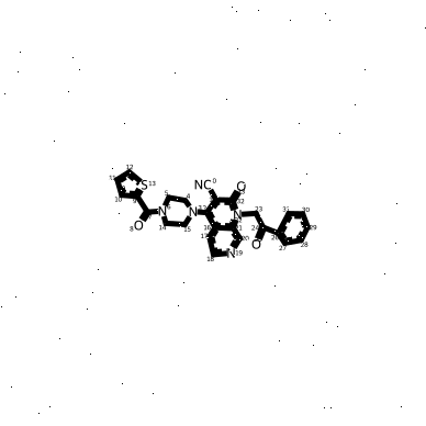 N#Cc1c(N2CCN(C(=O)c3cccs3)CC2)c2ccncc2n(CC(=O)c2ccccc2)c1=O